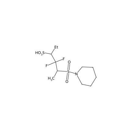 CCC(C(F)(F)C(C)S(=O)(=O)N1CCCCC1)S(=O)(=O)O